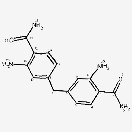 NC(=O)c1ccc(Cc2ccc(C(N)=O)c(N)c2)cc1N